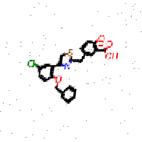 O=C(O)c1cc(Cc2nc(-c3cc(Cl)ccc3OCc3ccccc3)cs2)ccc1O